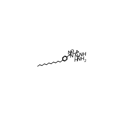 CCCCCCCCCCCc1ccc(-c2noc(C3(NC(=N)N)CC3)n2)cc1